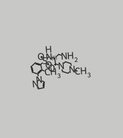 Cc1c(-n2cccn2)cccc1S(=O)(=O)N[C@@H](CN)C(=O)N1CCN(C)CC1